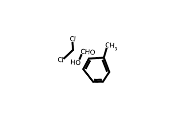 Cc1ccccc1.ClCCl.O=CO